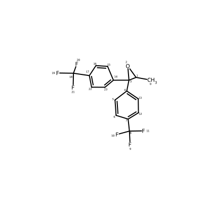 CC1OC1(c1ccc(C(F)(F)F)cc1)c1ccc(C(F)(F)F)cc1